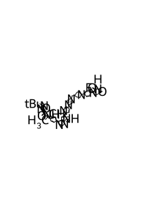 Cc1cc(-c2ncnc3[nH]c(-c4ccc(N5CCN(CC6CCN(c7ccc(N8CCC(=O)NC8=O)c(F)c7)CC6)CC5)cn4)cc23)ccc1C(C)NC(=O)c1nc(C(C)(C)C)no1